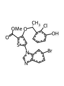 COC(=O)c1sc(-n2cnc3ccc(Br)cc32)cc1O[C@H](C)c1cccc(O)c1Cl